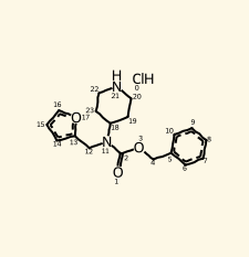 Cl.O=C(OCc1ccccc1)N(Cc1ccco1)C1CCNCC1